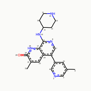 Cc1cncc(-c2cnc(NC3CCNCC3)c3[nH]c(=O)c(C)cc23)c1